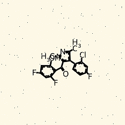 Cc1nn(C)c(C(=O)c2c(O)cc(F)cc2F)c1-c1ccc(F)cc1Cl